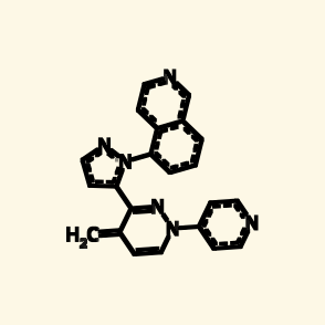 C=C1C=CN(c2ccncc2)N=C1c1ccnn1-c1cccc2cnccc12